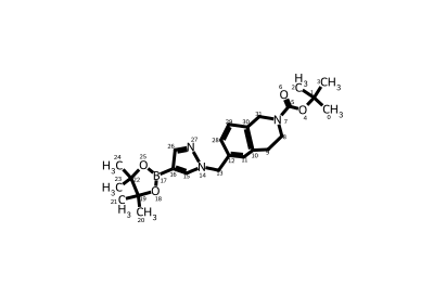 CC(C)(C)OC(=O)N1CCc2cc(Cn3cc(B4OC(C)(C)C(C)(C)O4)cn3)ccc2C1